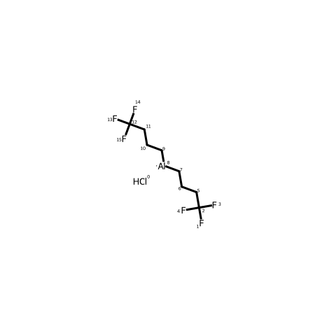 Cl.FC(F)(F)CC[CH2][Al][CH2]CCC(F)(F)F